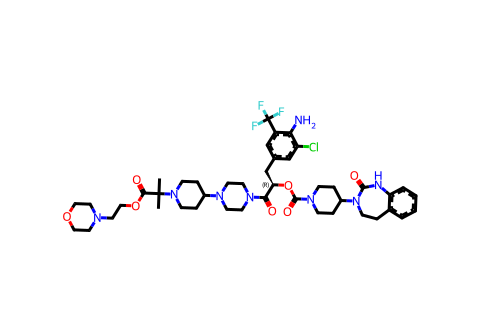 CC(C)(C(=O)OCCN1CCOCC1)N1CCC(N2CCN(C(=O)[C@@H](Cc3cc(Cl)c(N)c(C(F)(F)F)c3)OC(=O)N3CCC(N4CCc5ccccc5NC4=O)CC3)CC2)CC1